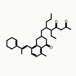 CCCC(CC1CC(=O)c2c(C)ccc(/C=C(\C)C3=CCCCC3)c2C1)C(CC)C(=O)CC(C)=O